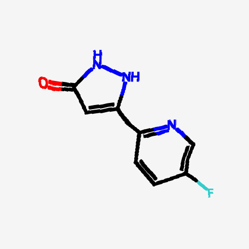 O=c1cc(-c2ccc(F)cn2)[nH][nH]1